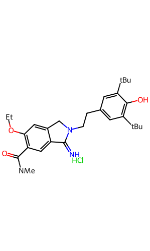 CCOc1cc2c(cc1C(=O)NC)C(=N)N(CCc1cc(C(C)(C)C)c(O)c(C(C)(C)C)c1)C2.Cl